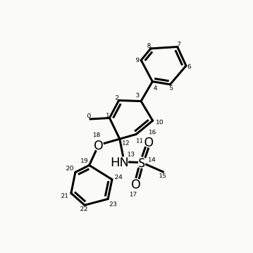 CC1=CC(c2ccccc2)C=CC1(NS(C)(=O)=O)Oc1ccccc1